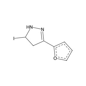 IC1CC(c2ccco2)=NN1